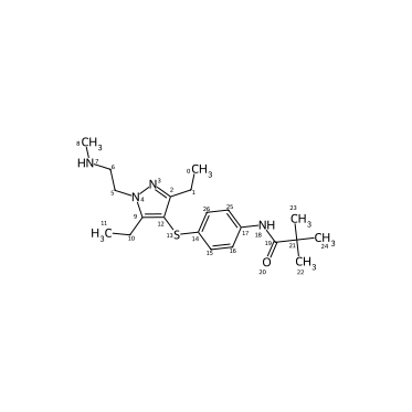 CCc1nn(CCNC)c(CC)c1Sc1ccc(NC(=O)C(C)(C)C)cc1